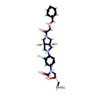 CC(=O)NC[C@H]1CN(c2ccc(N3C[C@H]4CN(C(=O)COCc5ccccc5)C[C@H]4C3)c(F)c2)C(=O)O1